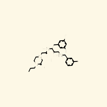 CCCN1CCN(CC(=O)N[C@@H](Cc2cc(F)cc(F)c2)[C@H](O)CNCc2cccc(I)c2)CC1=O